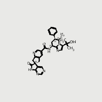 C[C@@H]1[C@H](c2ccccc2)C[C@H](NC(=O)c2cnc3c(c2)C[C@@]2(C3)C(=O)Nc3ncncc32)c2ncc(C(C)(C)O)n21